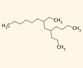 CCCCCCC(CC)CC(CCC)CCCC